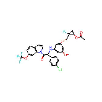 COc1cc(NC(C(=O)n2ccc3ccc(OC(F)(F)F)cc32)c2ccc(Cl)cc2)cc(OCC2(F)CC2OC(C)=O)c1